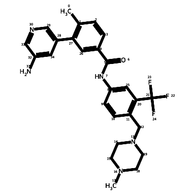 Cc1ccc(C(=O)Nc2ccc(CN3CCN(C)CC3)c(C(F)(F)F)c2)cc1-c1cncc(N)c1